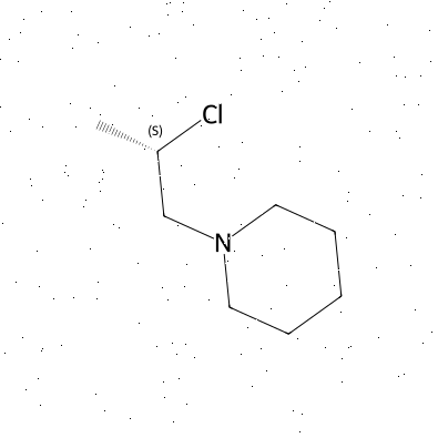 C[C@H](Cl)CN1CCCCC1